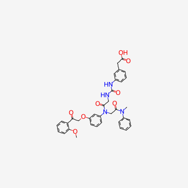 COc1ccccc1C(=O)COc1cccc(N(CC(=O)N(C)c2ccccc2)C(=O)CNC(=O)Nc2cccc(CC(=O)O)c2)c1